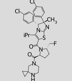 CC(C)C1=C(C(=O)N2[C@H](CF)CC[C@H]2C(=O)N2CCNC3(CC3)C2)SC2=N[C@@](C)(c3ccc(Cl)cc3)[C@@H](c3ccc(Cl)cc3)N21